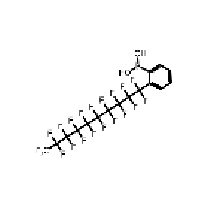 OB(O)c1ccccc1C(F)(F)C(F)(F)C(F)(F)C(F)(F)C(F)(F)C(F)(F)C(F)(F)C(F)(F)C(F)(F)C(F)(F)F